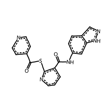 O=C(Sc1ncccc1C(=O)Nc1ccc2cn[nH]c2c1)c1ccncc1